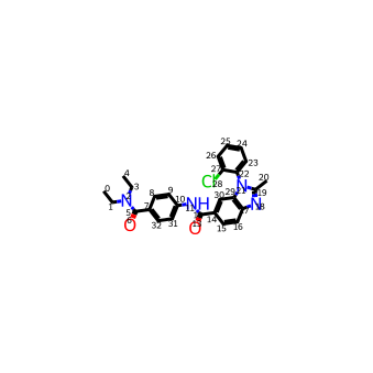 CCN(CC)C(=O)c1ccc(NC(=O)c2ccc3nc(C)n(-c4ccccc4Cl)c3c2)cc1